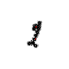 c1ccc(-c2cc(-c3ccc(-c4ccc(-c5ccc(-c6ccc7nc(-c8ccccc8)c8ccc9sc%10ccccc%10c9c8c7c6)cc5)cc4)cc3)nc(-c3ccccc3)n2)cc1